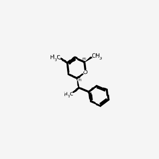 CC1=C[C@@H](C)O[C@@H](C(C)c2ccccc2)C1